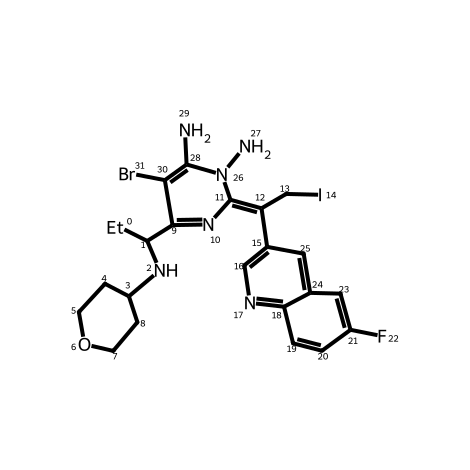 CCC(NC1CCOCC1)C1=N/C(=C(/CI)c2cnc3ccc(F)cc3c2)N(N)C(N)=C1Br